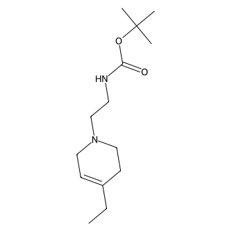 CCC1=CCN(CCNC(=O)OC(C)(C)C)CC1